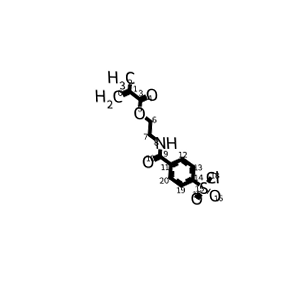 C=C(C)C(=O)OCCNC(=O)c1ccc(S(=O)(=O)Cl)cc1